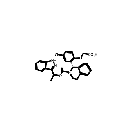 CC(OC(=O)N1CCc2ccccc2[C@H]1c1cc(Cl)ccc1OCC(=O)O)c1n[nH]c2ccccc12